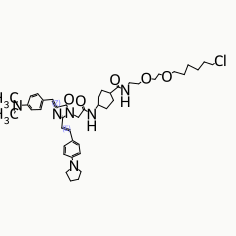 CN(C)c1ccc(/C=C2N=C(/C=C/c3ccc(N4CCCC4)cc3)N(CC(=O)NC3CCC(C(=O)NCCOCCOCCCCCCCl)CC3)C\2=O)cc1